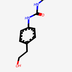 CC(C)NC(=O)Nc1ccc(CCO)cc1